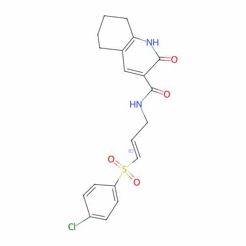 O=C(NC/C=C/S(=O)(=O)c1ccc(Cl)cc1)c1cc2c([nH]c1=O)CCCC2